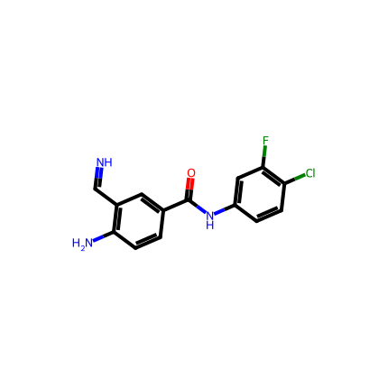 N=Cc1cc(C(=O)Nc2ccc(Cl)c(F)c2)ccc1N